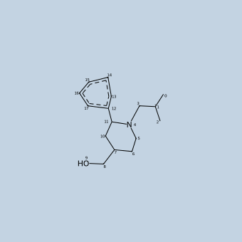 C[C](C)CN1CCC(CO)CC1c1ccccc1